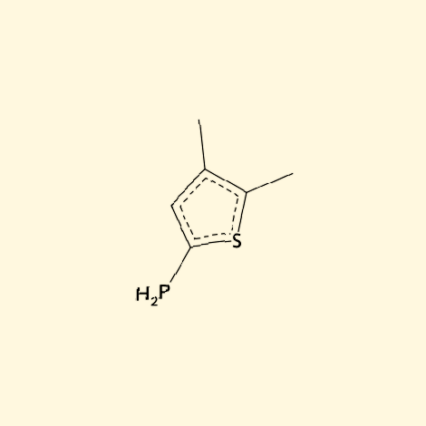 Cc1cc(P)sc1C